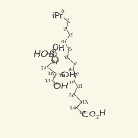 CC(C)CCCCCCCCCCCCCCC(=O)O.OCC(O)COB(O)O